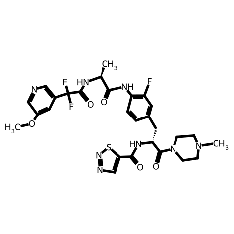 COc1cncc(C(F)(F)C(=O)N[C@@H](C)C(=O)Nc2ccc(C[C@@H](NC(=O)c3cnns3)C(=O)N3CCN(C)CC3)cc2F)c1